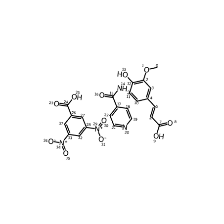 COc1cc(C=CC(=O)O)ccc1O.NC(=O)c1ccncc1.O=C(O)c1cc([N+](=O)[O-])cc([N+](=O)[O-])c1